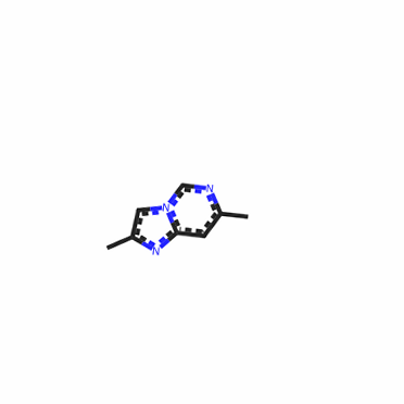 Cc1cc2nc(C)cn2cn1